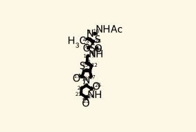 CC(=O)Nc1nc(C)c(S(=O)(=O)NCc2cc3c(s2)C(=O)N(C2CCC(=O)NC2=O)C3)s1